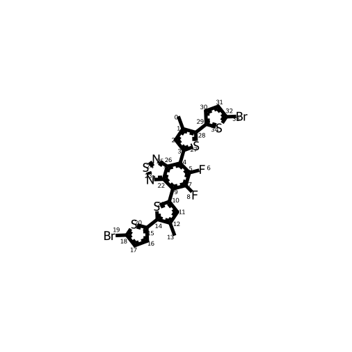 Cc1cc(-c2c(F)c(F)c(-c3cc(C)c(-c4ccc(Br)s4)s3)c3nsnc23)sc1-c1ccc(Br)s1